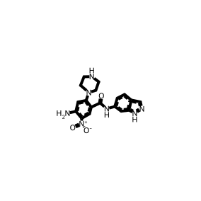 Nc1cc(N2CCNCC2)c(C(=O)Nc2ccc3cn[nH]c3c2)cc1[N+](=O)[O-]